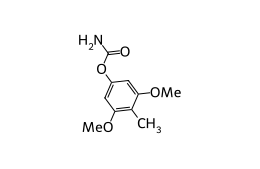 COc1cc(OC(N)=O)cc(OC)c1C